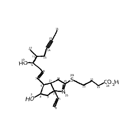 C=CC12CC(O)C(C=CC(O)C(C)CC#CC)C1CC(SCCCC(=O)O)=N2